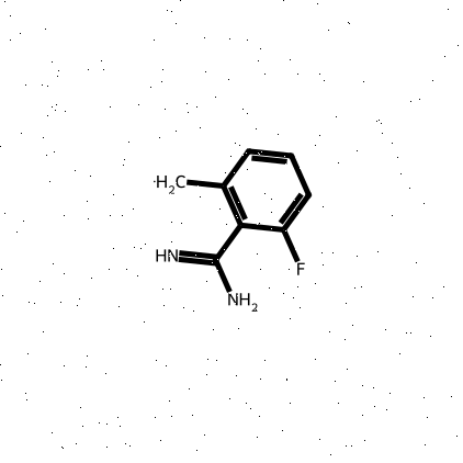 [CH2]c1cccc(F)c1C(=N)N